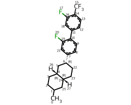 CC1CC[C@@H]2C[C@H](c3ccc(-c4ccc(C(F)(F)F)c(F)c4)c(F)c3)CC[C@@H]2C1